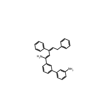 N/C(=C\C(=C/Cc1ccccc1)c1ccccc1)c1cccc(-c2cccc(N)c2)c1